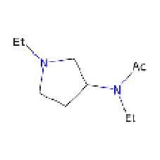 CCN1CCC(N(CC)C(C)=O)C1